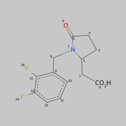 O=C(O)CC1CCC(=O)N1Cc1cccc(F)c1F